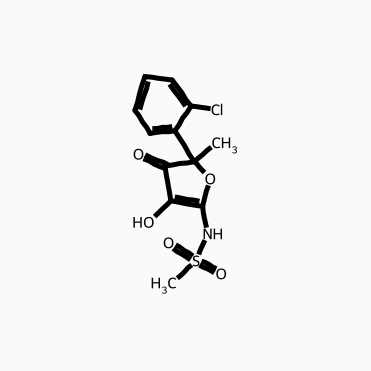 CC1(c2ccccc2Cl)OC(NS(C)(=O)=O)=C(O)C1=O